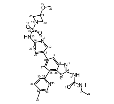 CCNC(=O)Nc1nc2cc(-c3cnc(NS(=O)(=O)N4CC(OC)C4)nc3)cc(-c3ccc(C)cn3)c2s1